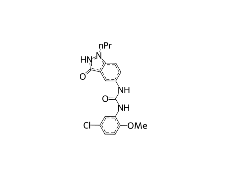 CCCn1[nH]c(=O)c2cc(NC(=O)Nc3cc(Cl)ccc3OC)ccc21